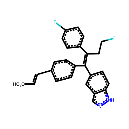 O=C(O)/C=C/c1ccc(/C(=C(/CCF)c2ccc(F)cc2)c2ccc3[nH]ncc3c2)cc1